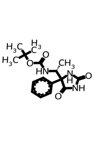 C[C@@H](NC(=O)OC(C)(C)C)C1(c2ccccc2)NC(=O)NC1=O